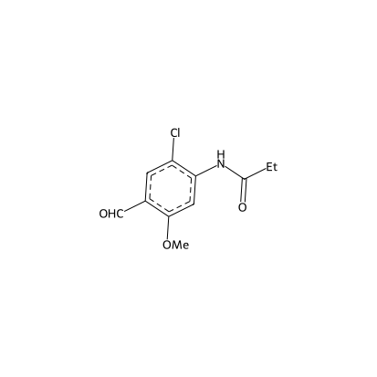 CCC(=O)Nc1cc(OC)c(C=O)cc1Cl